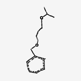 CC(C)OCCOCc1[c]cccc1